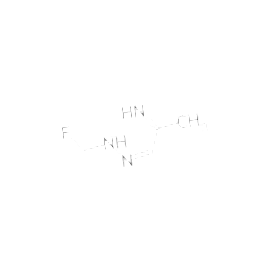 CC(=N)/C=N\NCF